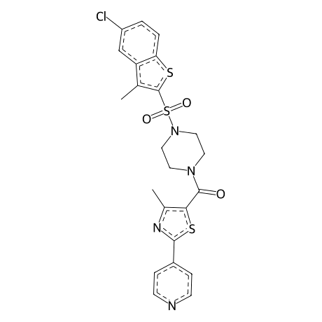 Cc1nc(-c2ccncc2)sc1C(=O)N1CCN(S(=O)(=O)c2sc3ccc(Cl)cc3c2C)CC1